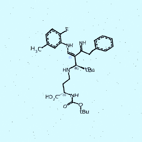 Cc1ccc(F)c(N/C=C(\C(=N)Cc2ccccc2)[C@H](NCC[C@H](NC(=O)OC(C)(C)C)C(=O)O)C(C)(C)C)c1